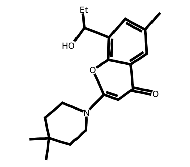 CCC(O)c1cc(C)cc2c(=O)cc(N3CCC(C)(C)CC3)oc12